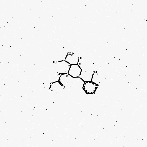 C[C@H]1CN(c2ccncc2N)C[C@@H](NC(=O)OC(C)(C)C)[C@H]1N(C)C(=O)O